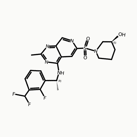 Cc1nc(N[C@H](C)c2cccc(C(F)F)c2F)c2cc(S(=O)(=O)N3CCC[C@H](O)C3)ncc2n1